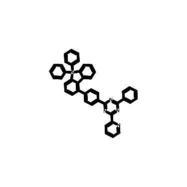 c1ccc(-c2nc(-c3ccc(-c4cccc5c4-c4ccccc4S5(c4ccccc4)c4ccccc4)cc3)nc(-c3ccccn3)n2)cc1